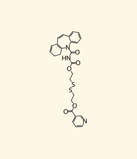 O=C(NC(=O)N1C2=C(C=CCC2)C=Cc2ccccc21)OCCSSCCOC(=O)c1cccnc1